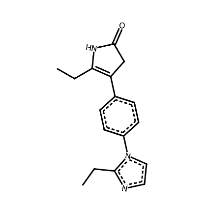 CCC1=C(c2ccc(-n3ccnc3CC)cc2)CC(=O)N1